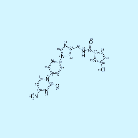 Nc1ccn(-c2ccc(-n3cnc(CNC(=O)c4ccc(Cl)s4)c3)cc2)c(=O)n1